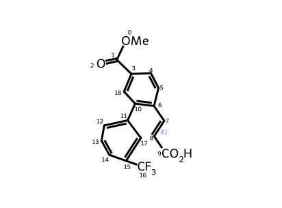 COC(=O)c1ccc(/C=C/C(=O)O)c(-c2cccc(C(F)(F)F)c2)c1